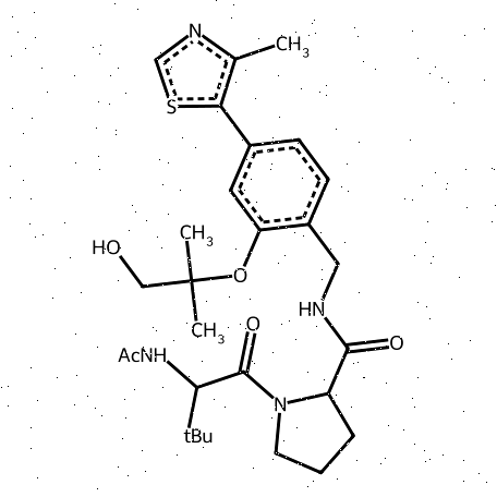 CC(=O)NC(C(=O)N1CCCC1C(=O)NCc1ccc(-c2scnc2C)cc1OC(C)(C)CO)C(C)(C)C